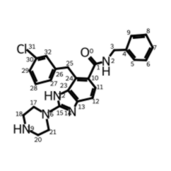 O=C(NCc1ccccc1)c1ccc2nc(N3CCNCC3)[nH]c2c1Cc1cccc(Cl)c1